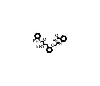 CCOC(Cc1ccccc1OCc1nc2ccccc2c(=O)n1C)C(=O)Nc1ccccc1F